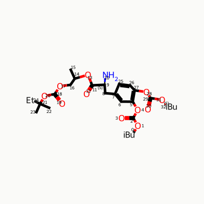 CCC(C)OC(=O)Oc1cc(C[C@H](N)C(=O)OC(C)COC(=O)OC(C)(C)CC)ccc1OC(=O)O[C@@H](C)CC